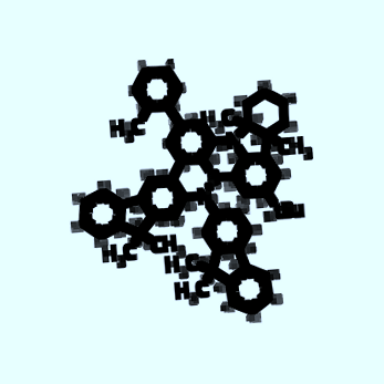 Cc1ccccc1-c1cc2c3c(c1)N1c4c(cc(C(C)(C)C)cc4C4(C)CCCCC14C)B3N(c1ccc3c(c1)C(C)(C)c1ccccc1-3)c1cc3c(cc1-2)-c1ccccc1C3(C)C